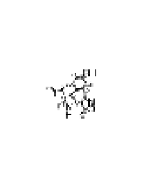 C=CCc1c(C)[nH]c(-c2c(C)noc2C)c1-c1ccc(O)cc1